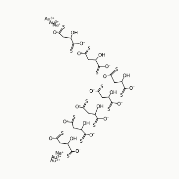 [Au+3].[Au+3].[Au+3].[Au+3].[Na+].[Na+].[O-]C(=S)CC(O)C([O-])=S.[O-]C(=S)CC(O)C([O-])=S.[O-]C(=S)CC(O)C([O-])=S.[O-]C(=S)CC(O)C([O-])=S.[O-]C(=S)CC(O)C([O-])=S.[O-]C(=S)CC(O)C([O-])=S.[O-]C(=S)CC(O)C([O-])=S